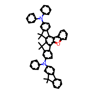 CC1(C)c2ccccc2-c2ccc(N(c3ccccc3)c3ccc4c(c3)C(C)(C)c3c5c(c6c(oc7ccccc76)c3-4)-c3ccc(N(c4ccccc4)c4ccccc4)cc3C5(C)C)cc21